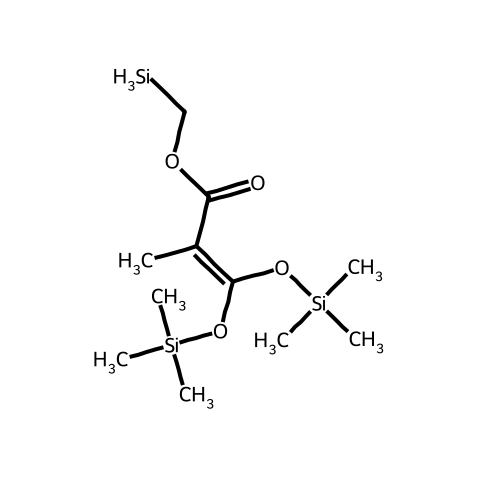 CC(C(=O)OC[SiH3])=C(O[Si](C)(C)C)O[Si](C)(C)C